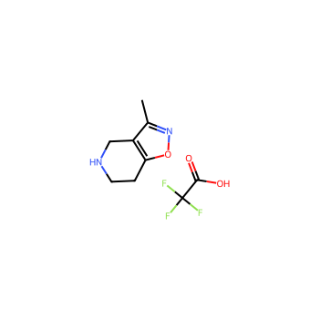 Cc1noc2c1CNCC2.O=C(O)C(F)(F)F